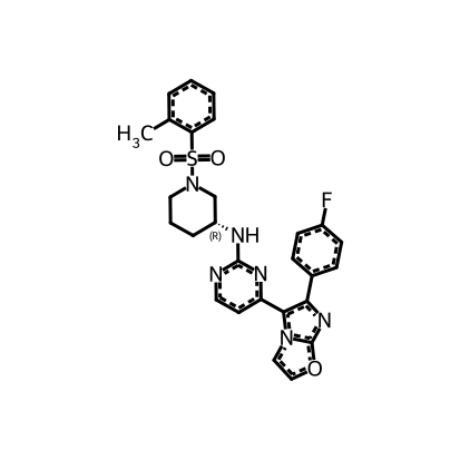 Cc1ccccc1S(=O)(=O)N1CCC[C@@H](Nc2nccc(-c3c(-c4ccc(F)cc4)nc4occn34)n2)C1